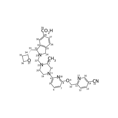 C[C@H]1CN(c2cccc(OCc3ccc(C#N)cn3)n2)CCN1CN1Cc2ccc(C(=O)O)cc2C1C[C@H]1CCO1